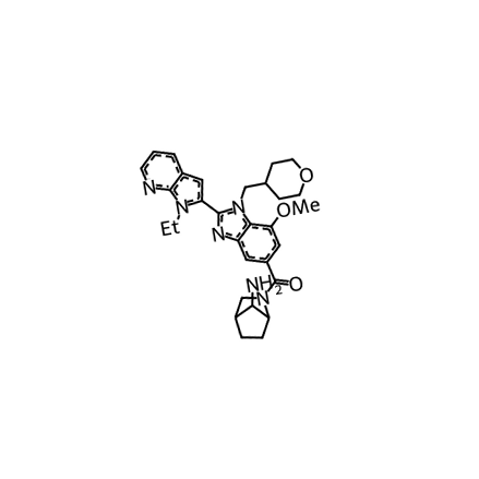 CCn1c(-c2nc3cc(C(=O)N4CC5CCC4C5N)cc(OC)c3n2CC2CCOCC2)cc2cccnc21